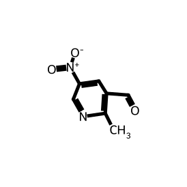 Cc1ncc([N+](=O)[O-])cc1C=O